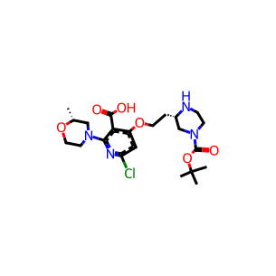 C[C@@H]1CN(c2nc(Cl)cc(OCC[C@H]3CN(C(=O)OC(C)(C)C)CCN3)c2C(=O)O)CCO1